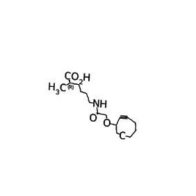 C[C@H](CCCCNC(=O)COC1C#CCCCCC1)C(=O)O